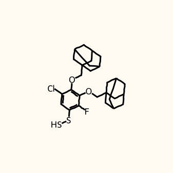 Fc1c(SS)cc(Cl)c(OCC23CC4CC(CC(C4)C2)C3)c1OCC12CC3CC(CC(C3)C1)C2